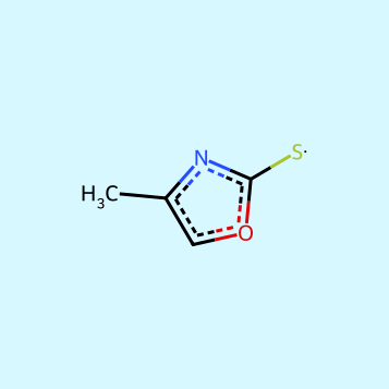 Cc1coc([S])n1